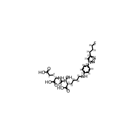 O=C(O)CC[C@H](NC(=O)N(O)[C@@H](CCCCNc1ccc(-n2cc(CCCF)nn2)cc1)C(=O)O)C(=O)O